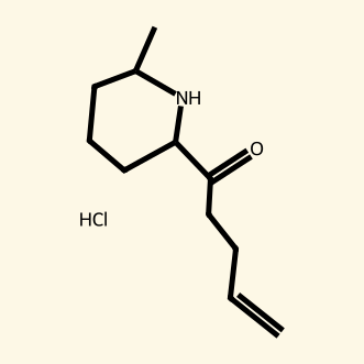 C=CCCC(=O)C1CCCC(C)N1.Cl